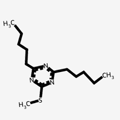 CCCCCc1nc(CCCCC)nc(SC)n1